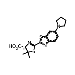 CC1(C)SC(c2nc3ccc(N4CCCC4)cc3s2)=N[C@H]1C(=O)O